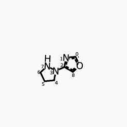 [c]1nc(N2CCCN2)co1